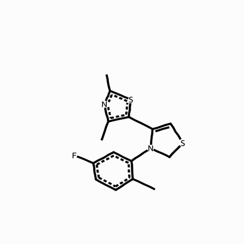 Cc1nc(C)c(C2=CSCN2c2cc(F)ccc2C)s1